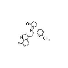 Cc1cccc(C(Cc2ccnc3c(F)cccc23)=NN2CCCC2=O)n1